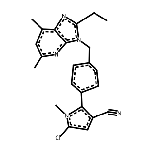 CCc1nc2c(C)cc(C)nc2n1Cc1ccc(-c2c(C#N)cc(Cl)n2C)cc1